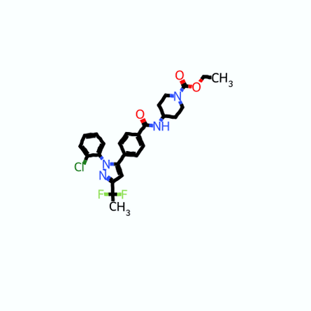 CCOC(=O)N1CCC(NC(=O)c2ccc(-c3cc(C(C)(F)F)nn3-c3ccccc3Cl)cc2)CC1